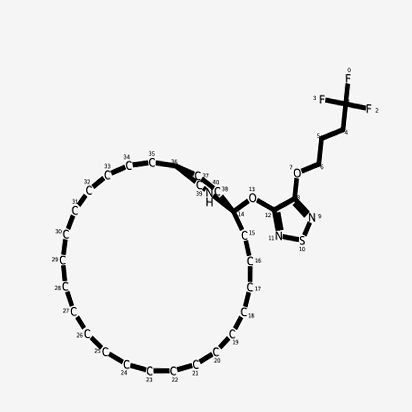 FC(F)(F)CCCOc1nsnc1OC12CCCCCCCCCCCCCCCCCCCCCC(CC1)CN2